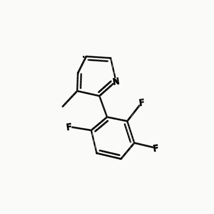 Cc1c[c]cnc1-c1c(F)ccc(F)c1F